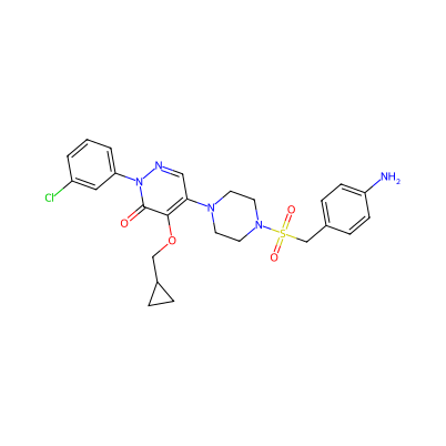 Nc1ccc(CS(=O)(=O)N2CCN(c3cnn(-c4cccc(Cl)c4)c(=O)c3OCC3CC3)CC2)cc1